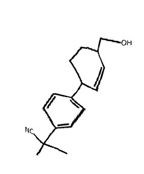 CC(C)(C#N)c1ccc(C2C=CC(CO)CC2)cc1